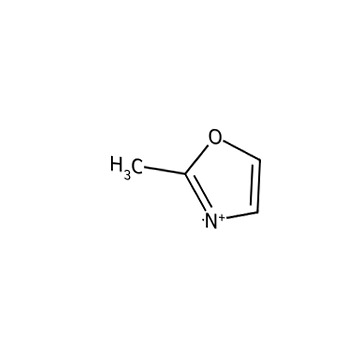 CC1=[N+]C=CO1